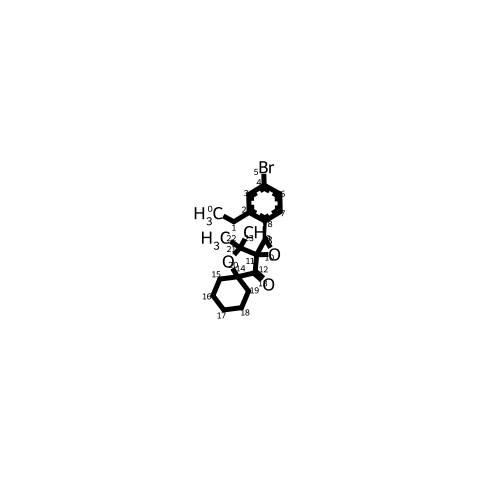 CCc1cc(Br)ccc1[C@H]1OC12C(=O)C1(CCCCC1)OC2(C)C